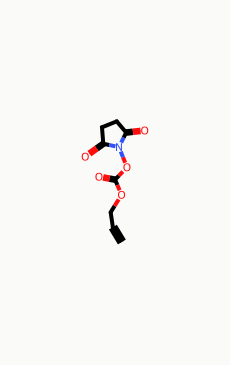 C#CCOC(=O)ON1C(=O)CCC1=O